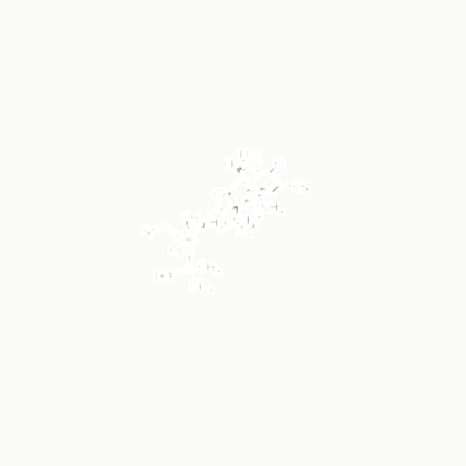 CCCC(C)(C)CC[C@@](C)(CCC(C)(C)[C@]1(C)CC[C@H]2C(C)(C)C(=O)C(C#N)=C[C@]2(C)[C@H]1CC(C)=O)C(O)CBr